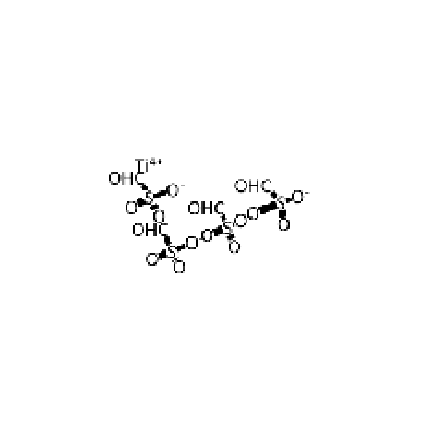 O=CS(=O)(=O)[O-].O=CS(=O)(=O)[O-].O=CS(=O)(=O)[O-].O=CS(=O)(=O)[O-].[Ti+4]